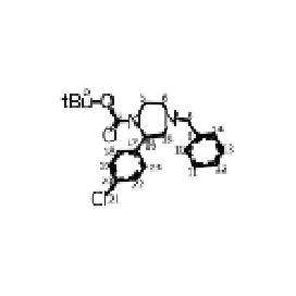 CC(C)(C)OC(=O)N1CCN(Cc2ccccc2)C[C@H]1c1ccc(Cl)cc1